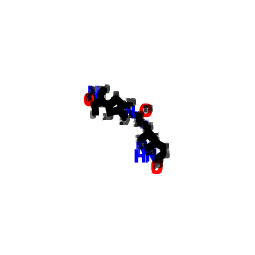 Cc1noc(C)c1C1=CC2CN(C(=O)/C=C/c3cnc4c(c3)CCC(=O)N4)CC2C1